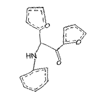 O=C(c1ccco1)C(Nc1ccccc1)c1ccco1